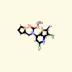 CC(C)(C)OC(=O)N(Cc1cccs1)c1cc(Cl)nc2c(Br)c(I)sc12